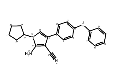 N#Cc1c(-c2ccc(Oc3ccccc3)cc2)cn(C2CCCC2)c1N